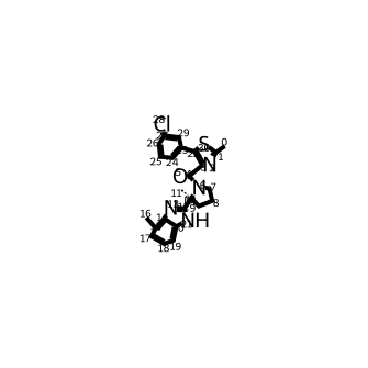 Cc1nc(C(=O)N2CCC[C@@]2(C)c2nc3c(C)cccc3[nH]2)c(-c2cccc(Cl)c2)s1